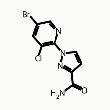 NC(=O)c1ccn(-c2ncc(Br)cc2Cl)n1